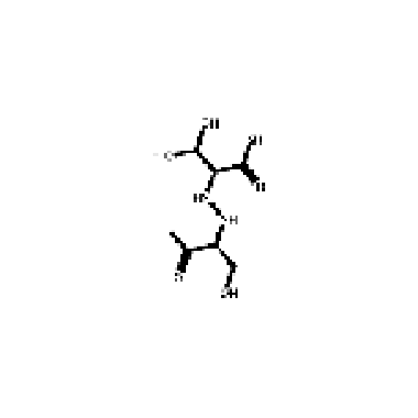 C[C@@H](O)[C@H](NN[C@@H](CO)C(=O)I)C(=O)S